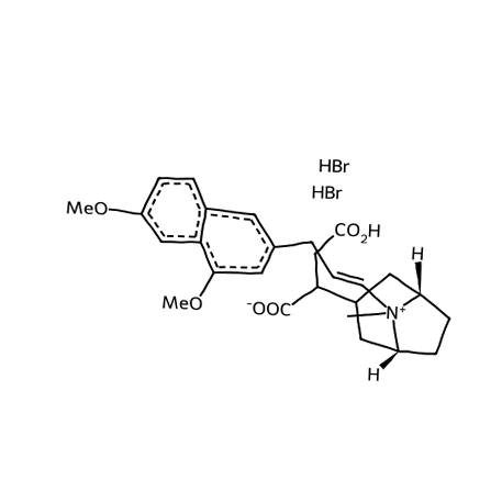 Br.Br.COc1ccc2cc(CC=C[N+]3(C)[C@@H]4CC[C@H]3CC(C(CC(=O)O)C(=O)[O-])C4)cc(OC)c2c1